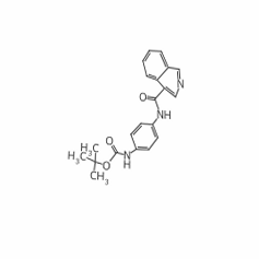 CC(C)(C)OC(=O)Nc1ccc(NC(=O)c2cncc3ccccc23)cc1